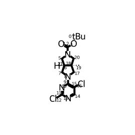 CC(C)(C)OC(=O)N1C[C@@H]2CN(c3nc(Cl)ncc3Cl)C[C@]2(C)C1